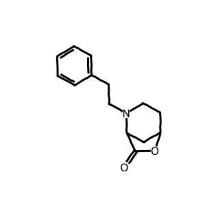 O=C1OC2CCN(CCc3ccccc3)C1C2